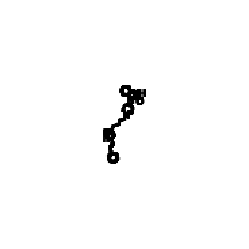 O=c1[nH]c2ccccc2n1C1CCN(CCCCc2cc(C=Cc3ccccc3)no2)CC1